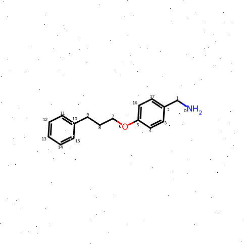 NCc1ccc(OCCCc2ccccc2)cc1